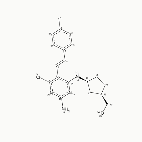 Cc1ccc(/C=C/c2c(Cl)nc(N)nc2N[C@H]2CC[C@@H](CO)C2)cc1